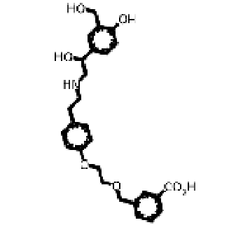 O=C(O)c1cccc(COCCOc2ccc(CCNCC(O)c3ccc(O)c(CO)c3)cc2)c1